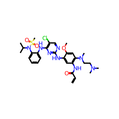 C=CC(=O)Nc1cc(Nc2ncc(Cl)c(Nc3ccccc3N(C(C)C)S(C)(=O)=O)n2)c(OC)cc1N(C)CCN(C)C